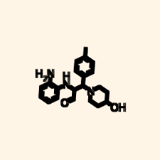 Cc1ccc(C(C(C=O)Nc2ccccc2N)N2CCC(O)CC2)cc1